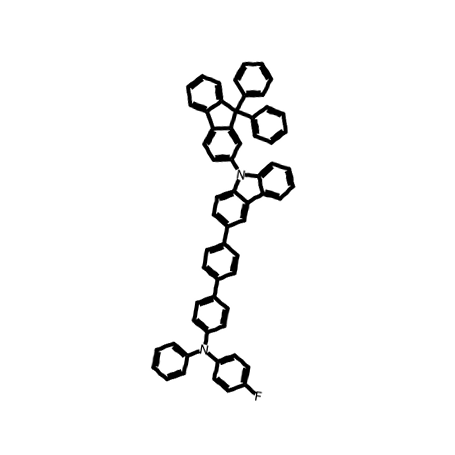 Fc1ccc(N(c2ccccc2)c2ccc(-c3ccc(-c4ccc5c(c4)c4ccccc4n5-c4ccc5c(c4)C(c4ccccc4)(c4ccccc4)c4ccccc4-5)cc3)cc2)cc1